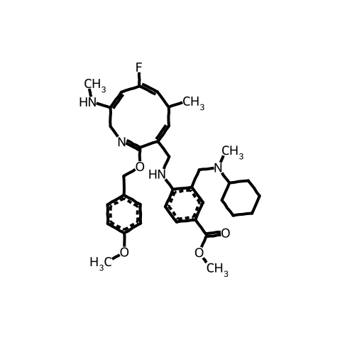 CN/C1=C/C(F)=C\C(C)/C=C(CNc2ccc(C(=O)OC)cc2CN(C)C2CCCCC2)\C(OCc2ccc(OC)cc2)=N/C1